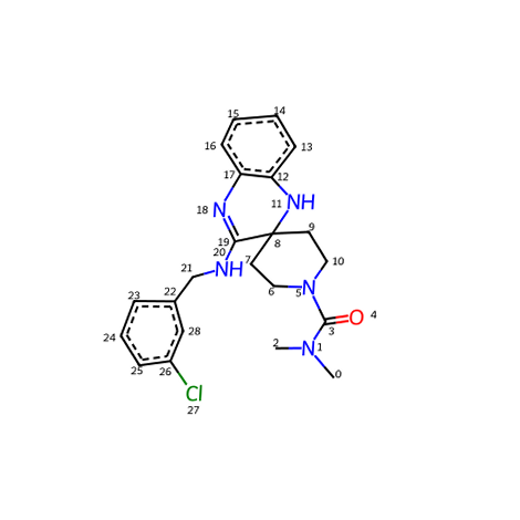 CN(C)C(=O)N1CCC2(CC1)Nc1ccccc1N=C2NCc1cccc(Cl)c1